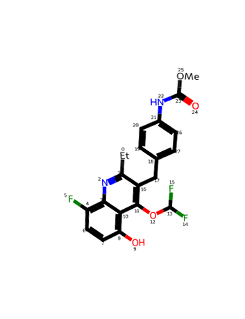 CCc1nc2c(F)ccc(O)c2c(OC(F)F)c1Cc1ccc(NC(=O)OC)cc1